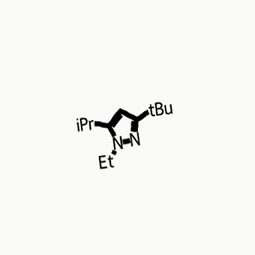 CCn1nc(C(C)(C)C)cc1C(C)C